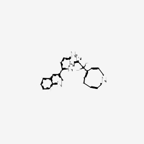 FC(F)(C1=C/C/C=C\C=N/C/C=C\1)c1nnc2ccc(-c3cnc4ccccc4c3)nn12